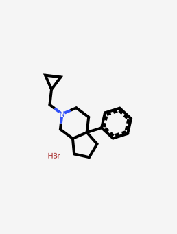 Br.c1ccc(C23CCCC2CN(CC2CC2)CC3)cc1